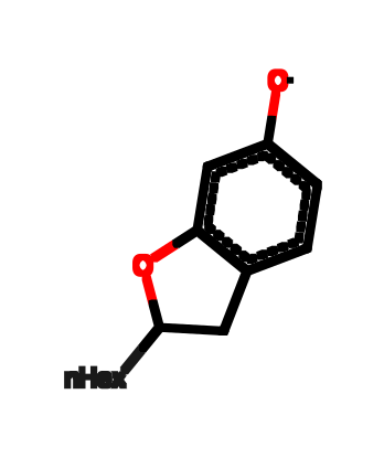 CCCCCCC1Cc2ccc([O])cc2O1